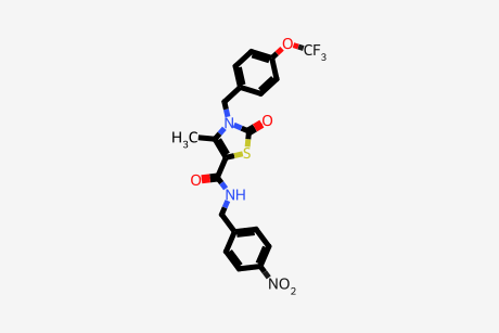 Cc1c(C(=O)NCc2ccc([N+](=O)[O-])cc2)sc(=O)n1Cc1ccc(OC(F)(F)F)cc1